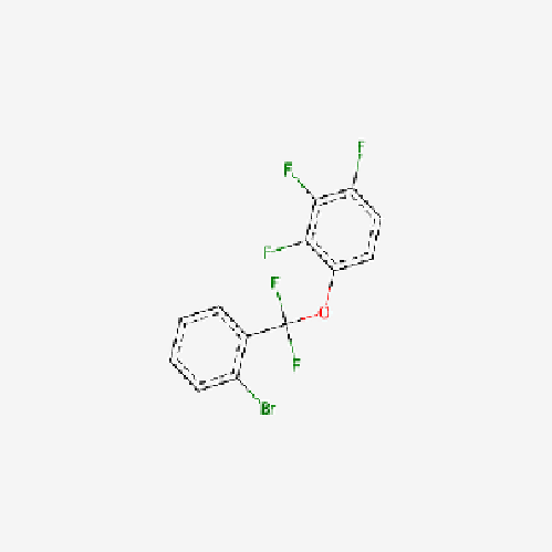 Fc1ccc(OC(F)(F)c2ccccc2Br)c(F)c1F